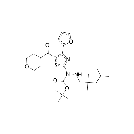 CC(C)CC(C)(C)CNN(C(=O)OC(C)(C)C)c1nc(-c2ccco2)c(C(=O)C2CCOCC2)s1